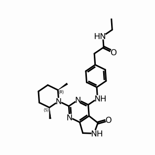 CCNC(=O)Cc1ccc(Nc2nc(N3[C@H](C)CCC[C@@H]3C)nc3c2C(=O)NC3)cc1